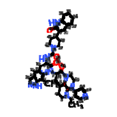 CCN1CCC(C[C@@H](NC(=O)[C@@H](Cc2cc(C)c3[nH]ncc3c2)NC(=O)N2CCC(c3cc4ccccc4[nH]c3=O)CC2)C(=O)N2CCN(c3ccncc3)CC2)CC1